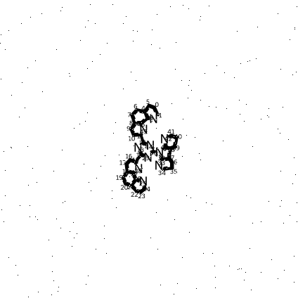 c1cnc2c(c1)ccc1ccc(-c3nc(-c4ccc5ccc6cccnc6c5n4)nc(-n4c5ncccc5c5cccnc54)n3)nc12